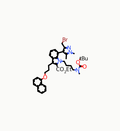 CCOC(=O)c1c(CCCOc2cccc3ccccc23)c2cccc(-c3c(CBr)nn(C)c3C)c2n1CCCCN(C)C(=O)OC(C)(C)C